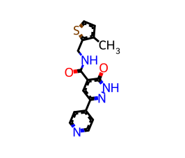 Cc1ccsc1CNC(=O)c1cc(-c2ccncc2)n[nH]c1=O